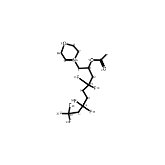 CC(=O)OC(CN1CCOCC1)CC(F)(F)CCC(F)(F)CC(F)(F)F